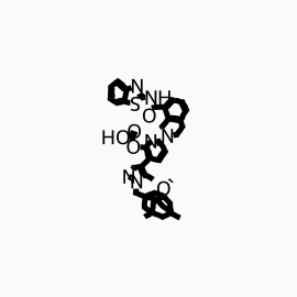 COC12CC3(C)CC(C)(CC(Cn4ncc(-c5ccc(N6CCc7cccc(C(=O)Nc8nc9ccccc9s8)c7C6)nc5OC(=O)O)c4C)(C3)C1)C2